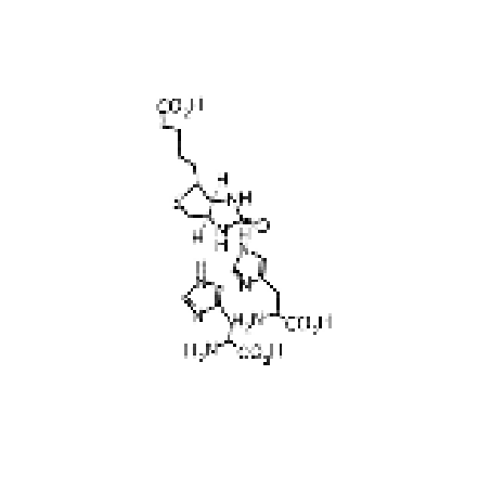 NC(Cc1c[nH]cn1)C(=O)O.NC(Cc1c[nH]cn1)C(=O)O.O=C(O)CCCC[C@@H]1SC[C@@H]2NC(=O)N[C@@H]21